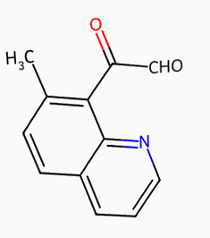 Cc1ccc2cccnc2c1C(=O)C=O